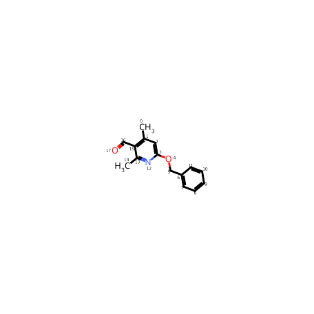 Cc1cc(OCc2ccccc2)nc(C)c1C=O